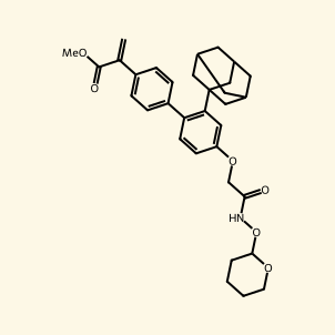 C=C(C(=O)OC)c1ccc(-c2ccc(OCC(=O)NOC3CCCCO3)cc2C23CC4CC(CC(C4)C2)C3)cc1